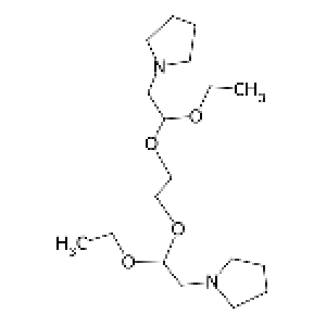 CCOC(CN1CCCC1)OCCOC(CN1CCCC1)OCC